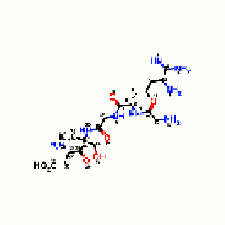 N=C(N)C(N)CCC[C@H](NC(=O)CN)C(=O)NCC(=O)N[C@@](CO)(C(=O)O)C(=O)[C@@H](N)CC(=O)O